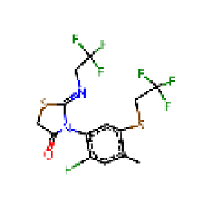 Cc1cc(F)c(N2C(=O)CSC2=NCC(F)(F)F)cc1SCC(F)(F)F